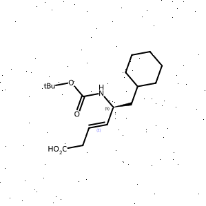 CC(C)(C)OC(=O)N[C@H](/C=C/CC(=O)O)CC1CCCCC1